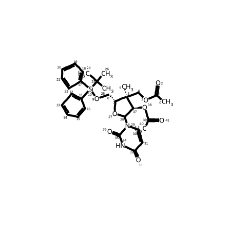 CC(=O)OC[C@]1(C)[C@@H](CO[Si](c2ccccc2)(c2ccccc2)C(C)(C)C)OC(n2ccc(=O)[nH]c2=O)[C@@H]1OC(C)=O